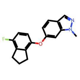 Cn1ncc2ccc(Oc3ccc(F)c4c3CCC4)cc21